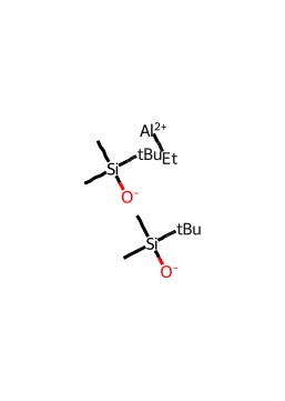 CC(C)(C)[Si](C)(C)[O-].CC(C)(C)[Si](C)(C)[O-].C[CH2][Al+2]